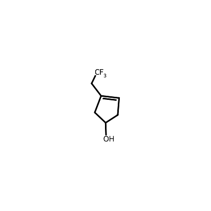 OC1CC=C(CC(F)(F)F)C1